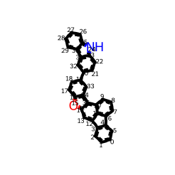 c1ccc2c(c1)-c1cccc3c1c-2cc1oc2ccc(-c4ccc5[nH]c6ccccc6c5c4)cc2c13